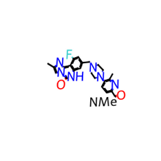 CNC(=O)c1ccc(N2CCN(Cc3cc(F)c4c(c3)[nH]c(=O)n3cc(C)nc43)CC2)c(C)n1